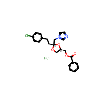 Cl.O=C(OC[C@H]1CO[C@](CCc2ccc(Cl)cc2)(Cn2ccnc2)O1)c1ccccc1